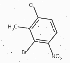 Cc1c(Cl)ccc([N+](=O)[O-])c1Br